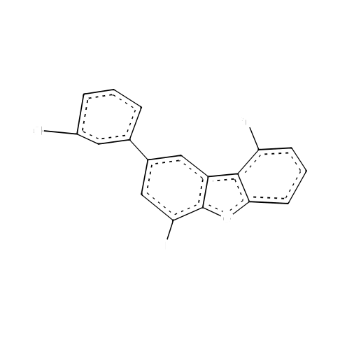 Clc1cccc(-c2cc(I)c3oc4cccc(Br)c4c3c2)c1